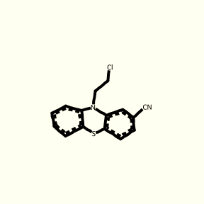 N#Cc1ccc2c(c1)N(CCCl)c1ccccc1S2